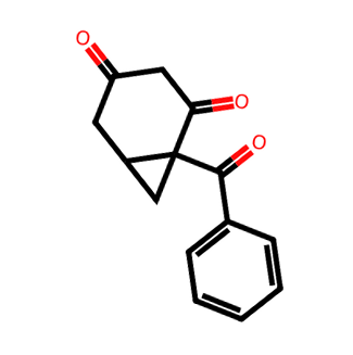 O=C1CC(=O)C2(C(=O)c3ccccc3)CC2C1